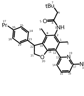 Cc1c(NC(=O)CC(C)(C)C)c(C)c2c(c1-c1cccc(N)n1)OCC2c1ccc(C(C)C)cc1